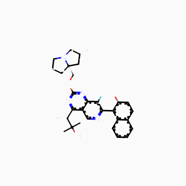 C[C@H](c1nc(OC[C@@]23CCCN2C[C@H](F)C3)nc2c(F)c(-c3c(O)ccc4ccccc34)ncc12)C(C)(C)O